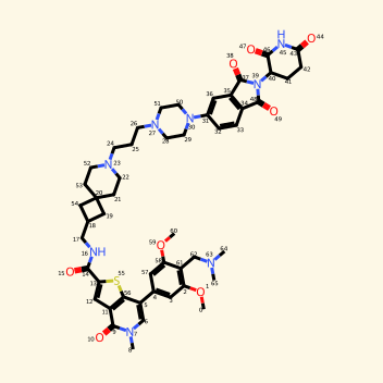 COc1cc(-c2cn(C)c(=O)c3cc(C(=O)NCC4CC5(CCN(CCCN6CCN(c7ccc8c(c7)C(=O)N(C7CCC(=O)NC7=O)C8=O)CC6)CC5)C4)sc23)cc(OC)c1CN(C)C